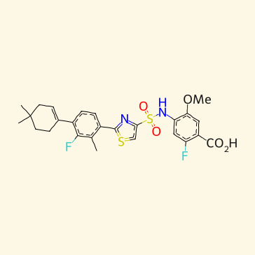 COc1cc(C(=O)O)c(F)cc1NS(=O)(=O)c1csc(-c2ccc(C3=CCC(C)(C)CC3)c(F)c2C)n1